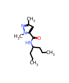 CCCC(CCC)NC(=O)c1cc(C)nn1C